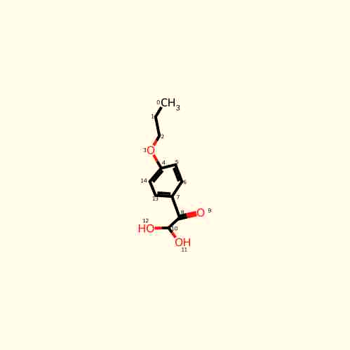 CCCOc1ccc(C(=O)C(O)O)cc1